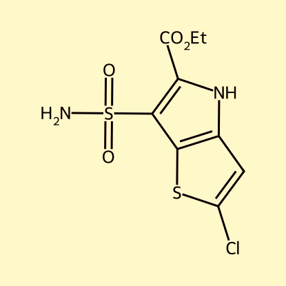 CCOC(=O)c1[nH]c2cc(Cl)sc2c1S(N)(=O)=O